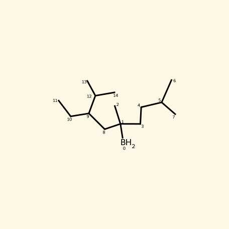 BC(C)(CCC(C)C)CC(CC)C(C)C